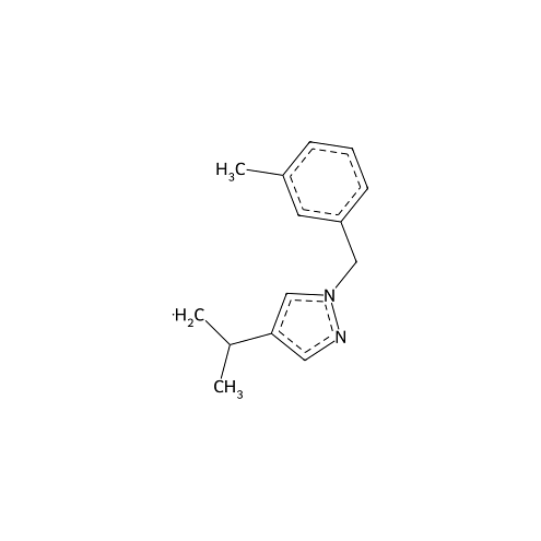 [CH2]C(C)c1cnn(Cc2cccc(C)c2)c1